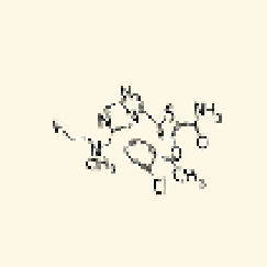 CC(Oc1cc(-c2cnc3cnc(CN(C)CCF)cn23)sc1C(N)=O)c1ccccc1Cl